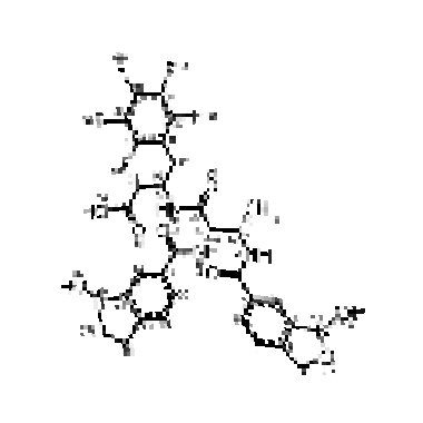 C[C@H](NC(=O)c1ccc2c(c1)B(O)OC2)[C@H](NC(=O)c1ccc2c(c1)B(O)OC2)C(=O)N[C@@H](CC(=O)O)Cc1c(F)c(F)c(F)c(F)c1F